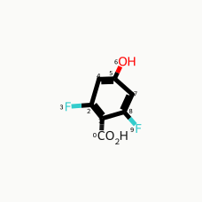 O=C(O)c1c(F)cc(O)cc1F